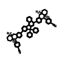 CC12CCCCC1(C)N(c1ccc(C#N)cc1)c1ccc(-c3ccc4c(c3)C(c3ccccc3)(c3ccccc3)c3cc(-c5ccc6c(c5)CC5(C)CCCCC5(C)N6c5ccc(C#N)cc5)c5ccccc5c3-4)cc1C2